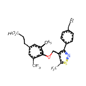 CCc1ccc(-c2nsc(C(F)(F)F)c2COc2c(C)cc(CCC(=O)O)cc2C(F)(F)F)cc1